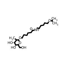 CC(C)OCCCCCCNC(=O)CCCCCO[C@@H]1OC(CO)[C@H](O)[C@H](O)C1C